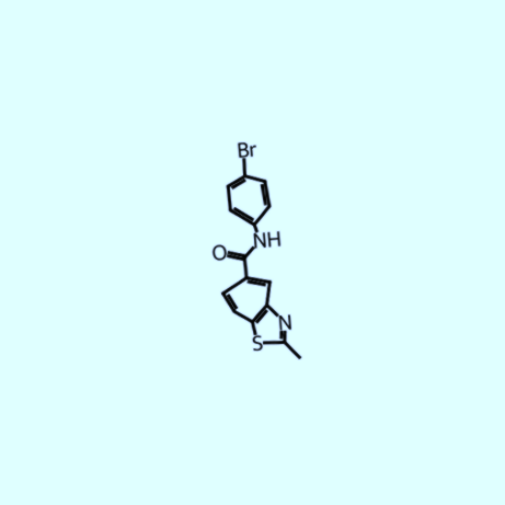 Cc1nc2cc(C(=O)Nc3ccc(Br)cc3)ccc2s1